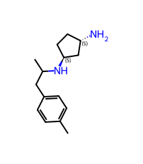 Cc1ccc(CC(C)N[C@H]2CC[C@H](N)C2)cc1